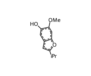 COc1cc2oc(C(C)C)cc2cc1O